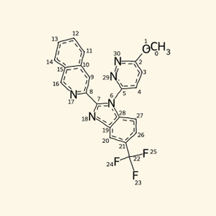 COc1ccc(-n2c(-c3cc4ccccc4cn3)nc3cc(C(F)(F)F)ccc32)nn1